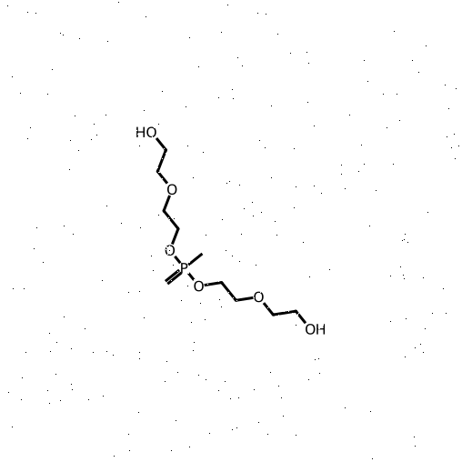 C=P(C)(OCCOCCO)OCCOCCO